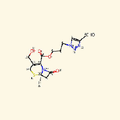 O=Cc1cn(CCCOC(=O)C2=C(CO)CS[C@@H]3CC(=O)N23)nn1